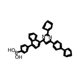 OB(O)c1ccc(-c2ccc(-c3cc(-c4ccc(-c5ccccc5)cc4)nc(-c4ccccc4)n3)c3ccccc23)cc1